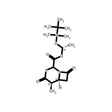 C[C@H](OC(=O)C1SC(=O)[C@H](C)[C@@H]2CC(=O)N12)O[Si](C)(C)C(C)(C)C